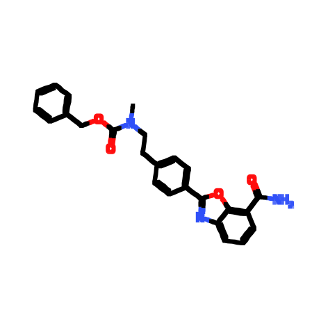 CN(CCc1ccc(-c2nc3cccc(C(N)=O)c3o2)cc1)C(=O)OCc1ccccc1